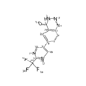 O=c1[nH]nnc2ccc(-c3cnc(C(F)(F)F)nc3)cc12